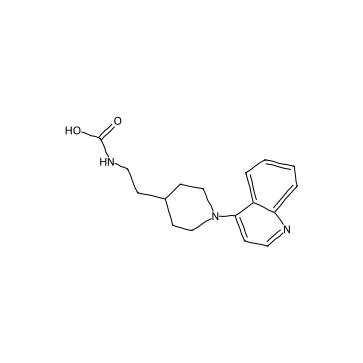 O=C(O)NCCC1CCN(c2ccnc3ccccc23)CC1